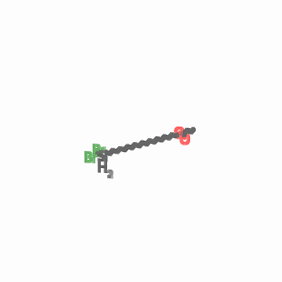 CC=CC(=O)OCCCCCCCCCCCCCCCCCCCC[SiH2]C(Br)Br